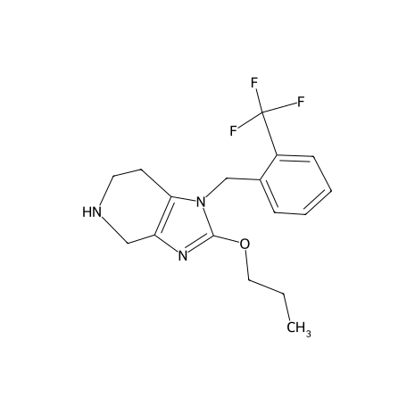 CCCOc1nc2c(n1Cc1ccccc1C(F)(F)F)CCNC2